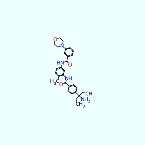 CCC(N)(CC)c1ccc(C(=O)Nc2cc(NC(=O)c3cccc(N4CCOCC4)c3)ccc2C)cc1